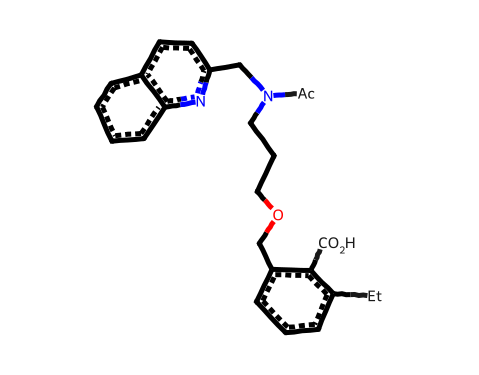 CCc1cccc(COCCCN(Cc2ccc3ccccc3n2)C(C)=O)c1C(=O)O